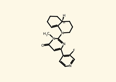 Cn1c(N2CCC[C@H]3CCCC=C32)nc(-c2ccncc2F)cc1=O